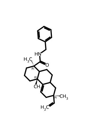 C=C[C@@]1(C)CC=C2C(CCC3[C@](C)(C(=O)NCc4ccccc4)CCC[C@@]23C)C1